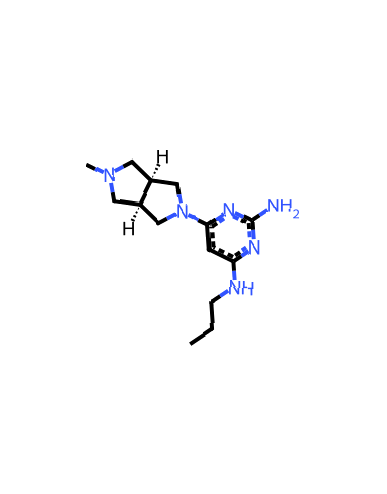 CCCNc1cc(N2C[C@H]3CN(C)C[C@H]3C2)nc(N)n1